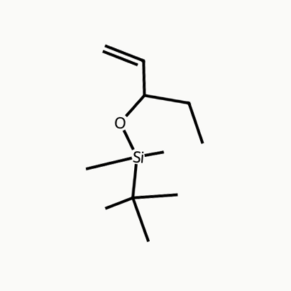 C=CC(CC)O[Si](C)(C)C(C)(C)C